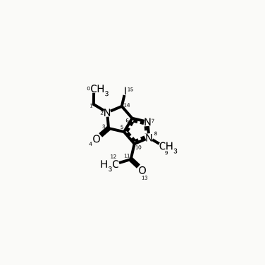 CCN1C(=O)c2c(nn(C)c2C(C)=O)C1I